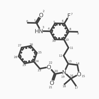 CC(=O)Nc1cc(F)c(C)c(CCC2COC(C)(C)N2C(=O)OCc2ccccc2)c1